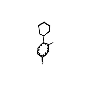 Fc1ccc(C2CCCCC2)c(Cl)c1